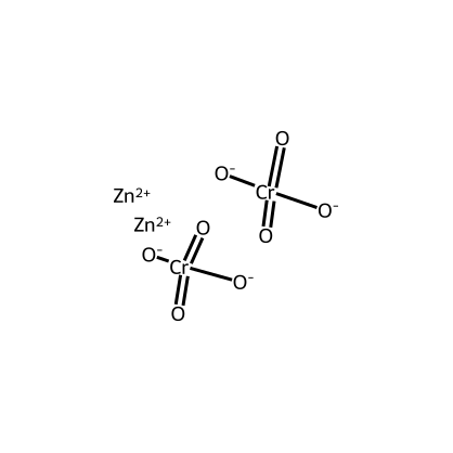 [O]=[Cr](=[O])([O-])[O-].[O]=[Cr](=[O])([O-])[O-].[Zn+2].[Zn+2]